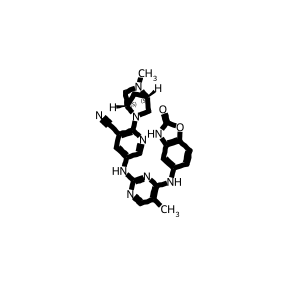 Cc1cnc(Nc2cnc(N3C[C@@H]4C[C@H]3CN4C)c(C#N)c2)nc1Nc1ccc2oc(=O)[nH]c2c1